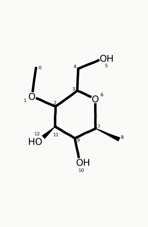 COC1C(CO)O[C@@H](C)C(O)[C@H]1O